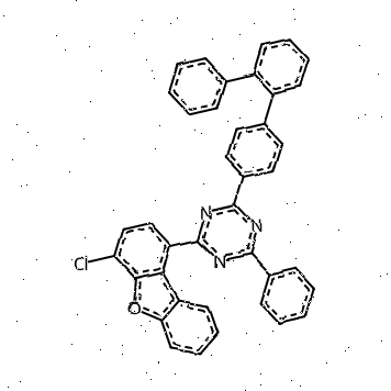 Clc1ccc(-c2nc(-c3ccccc3)nc(-c3ccc(-c4ccccc4-c4ccccc4)cc3)n2)c2c1oc1ccccc12